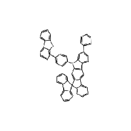 c1ccc(-c2ccc3c4cc5c(cc4n(-c4ccc(-c6cccc7c6sc6ccccc67)cc4)c3c2)C2(c3ccccc3-c3ccccc32)c2ccccc2-5)cc1